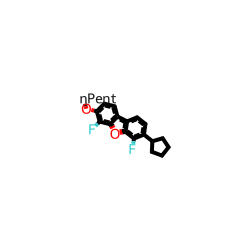 CCCCCOc1ccc2c(oc3c(F)c(C4CCCC4)ccc32)c1F